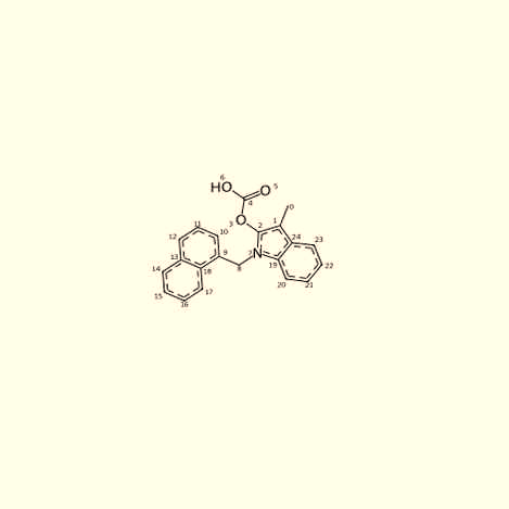 Cc1c(OC(=O)O)n(Cc2cccc3ccccc23)c2ccccc12